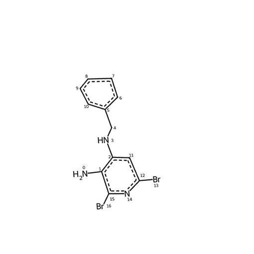 Nc1c(NCc2ccccc2)cc(Br)nc1Br